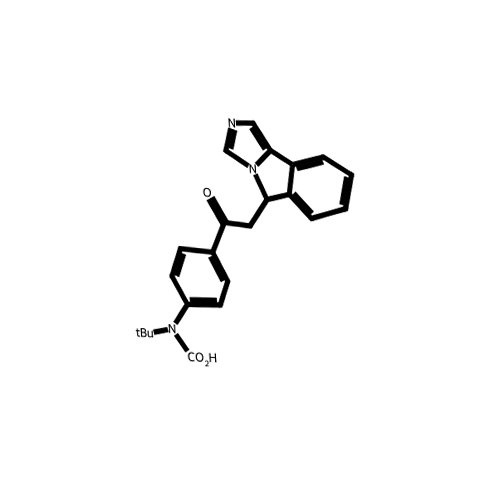 CC(C)(C)N(C(=O)O)c1ccc(C(=O)CC2c3ccccc3-c3cncn32)cc1